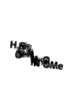 COC(=O)CCc1cn(CCN(CCC[SiH3])CCC[SiH]=O)nn1